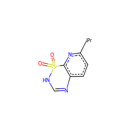 CC(C)c1ccc2c(n1)S(=O)(=O)NC=N2